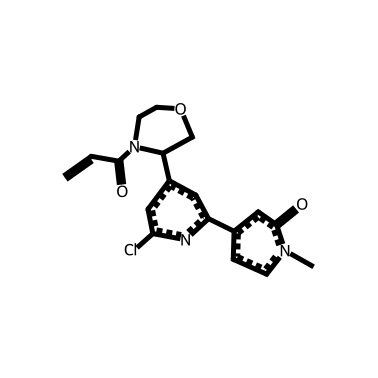 C=CC(=O)N1CCOCC1c1cc(Cl)nc(-c2ccn(C)c(=O)c2)c1